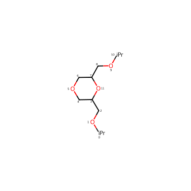 CC(C)OCC1COCC(COC(C)C)O1